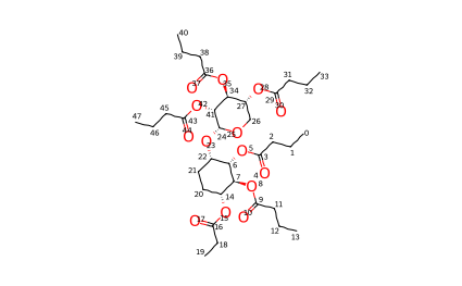 CCCC(=O)O[C@@H]1[C@@H](OC(=O)CCC)[C@H](OC(=O)CC)CC[C@@H]1O[C@H]1OC[C@@H](OC(=O)CCC)[C@H](OC(=O)CCC)[C@H]1OC(=O)CCC